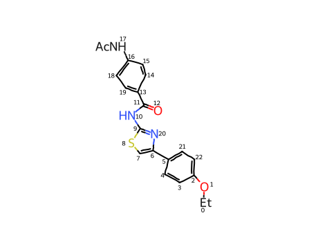 CCOc1ccc(-c2csc(NC(=O)c3ccc(NC(C)=O)cc3)n2)cc1